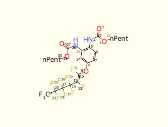 CCCCCOC(=O)Nc1ccc(OC(F)=C(F)C(F)(F)C(F)(F)C(F)(F)C(F)(F)F)cc1NC(=O)OCCCCC